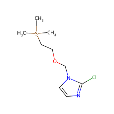 CS(C)(C)CCOCn1ccnc1Cl